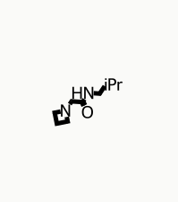 CC(C)CNC(=O)CN1CCC1